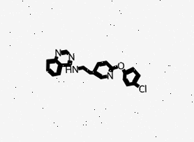 Clc1ccc(Oc2ccc(CCNc3ncnc4ccccc34)cn2)cc1